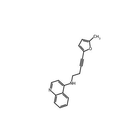 Cc1ccc(C#CCCNc2ccnc3ccccc23)o1